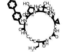 CC(C)(C)C1C(=O)N2C[C@H](O)C[C@H]2C(=O)N[C@H](Cc2ccc(-c3ccccc3)cc2)C(=O)NCCC[C@H](CN)C(=O)NCC(=O)NCC2(CC2)c2cn1nn2